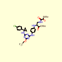 CNC(=O)C(=O)NCC(Nc1ccc(Nc2nc(NC3(c4ccc(Cl)cc4)CC3)nc(OCC(F)(F)F)n2)cc1)C(=O)OC